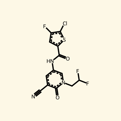 N#Cc1cc(NC(=O)c2cc(F)c(Cl)s2)cn(CC(F)F)c1=O